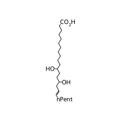 CCCCCC=CCC(O)CCC(O)CCCCCCCCCCC(=O)O